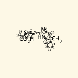 CC(OC(=O)Nc1c(C#Cc2cc3cc(C4(C(=O)O)CC4)sc3s2)nsc1C1CC1)c1ccccc1